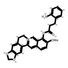 COc1ccc2cc3[n+](cc2c1OC(=O)CCc1ccccc1N)CCc1cc2c(cc1-3)OCO2